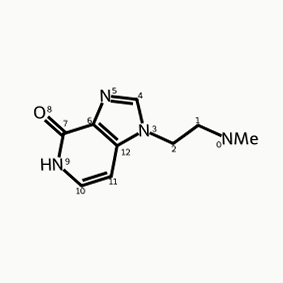 CNCCn1cnc2c(=O)[nH]ccc21